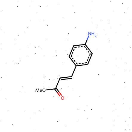 COC(=O)/C=C/c1ccc(N)cc1